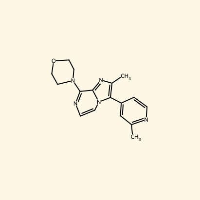 Cc1cc(-c2c(C)nc3c(N4CCOCC4)nccn23)ccn1